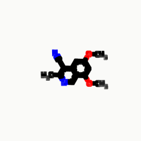 COc1cc(OC)c2cnc(C)c(C#N)c2c1